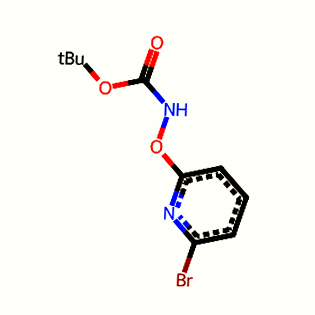 CC(C)(C)OC(=O)NOc1cccc(Br)n1